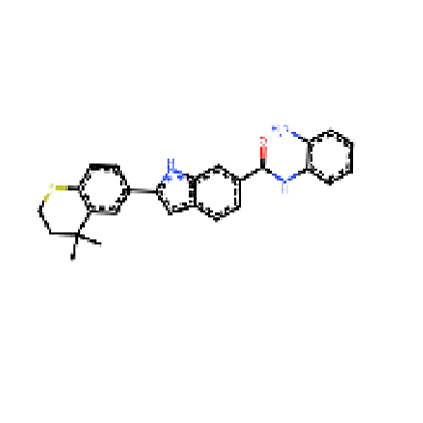 CC1(C)CCSc2ccc(-c3cc4ccc(C(=O)Nc5ccccc5N)cc4[nH]3)cc21